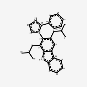 CC(C)Cc1cc2c(oc3ccccc32)c(CC(C)C)c1-n1ccnc1-c1ccccc1